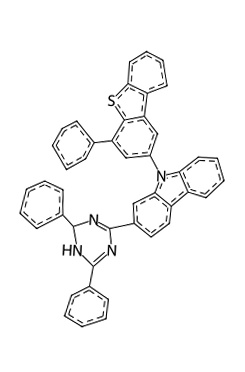 c1ccc(C2=NC(c3ccc4c5ccccc5n(-c5cc(-c6ccccc6)c6sc7ccccc7c6c5)c4c3)=NC(c3ccccc3)N2)cc1